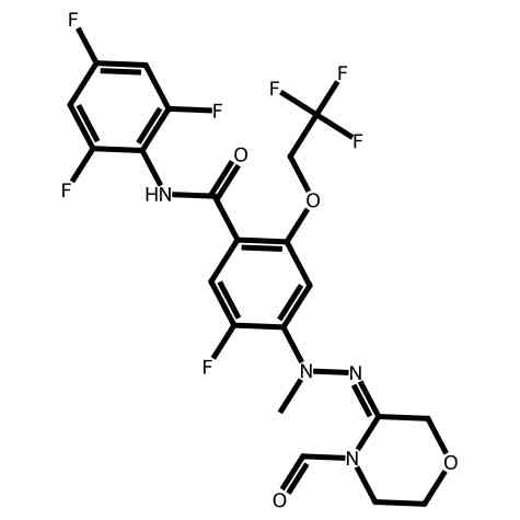 CN(/N=C1/COCCN1C=O)c1cc(OCC(F)(F)F)c(C(=O)Nc2c(F)cc(F)cc2F)cc1F